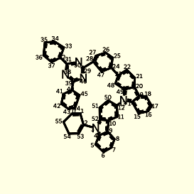 C1=CC(n2c3ccccc3c3cc(-n4c5ccccc5c5ccc(-c6cccc(-c7nc(-c8ccccc8)nc(-c8ccccc8)n7)c6)cc54)ccc32)=CCC1